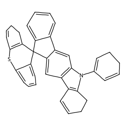 C1=CC(n2c3c(c4cc5c(cc42)-c2ccccc2C52C4=C(C=CCC4)Sc4ccccc42)C=CCC3)=CCC1